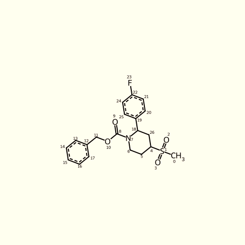 CS(=O)(=O)C1CCN(C(=O)OCc2ccccc2)C(c2ccc(F)cc2)C1